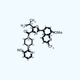 COc1ccc(-c2nc(C(=O)N3CCN(c4ncccc4C#N)CC3)c([C@H](C)N)o2)c2ccc(C(F)(F)F)nc12